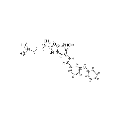 CN(C)CCCN(C)c1nc2cc(NC(=O)c3cccc(Oc4ccccc4)c3)ccc2o1.Cl